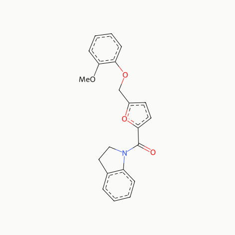 COc1ccccc1OCc1ccc(C(=O)N2CCc3ccccc32)o1